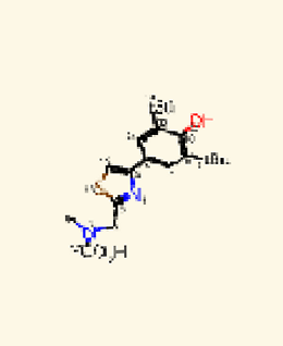 CN(Cc1nc(-c2cc(C(C)(C)C)c(O)c(C(C)(C)C)c2)cs1)C(=O)O